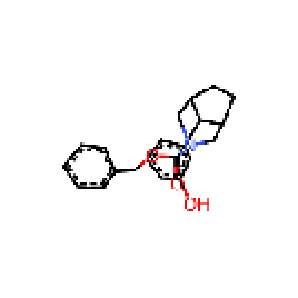 O=C(OCc1ccccc1)N1CC2CCC(C1)C2c1cccc(O)c1